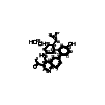 CC(=O)c1cnc2ccc(-c3ccc(O)cc3)cc2c1N[C@H]1CC[C@H](CN(C)C)CC1.Cl.Cl